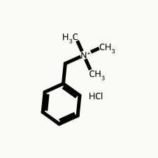 C[N+](C)(C)Cc1ccccc1.Cl